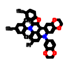 Cc1cc(C(C)(C)C)cc(C)c1N1c2cc(C(C)C)cc3c2B(c2cc4c(cc2N3c2ccc3c(c2)OCCO3)OCCO4)c2oc3ccc(C(C)(C)C)cc3c21